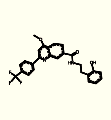 COc1cc(-c2ccc(C(F)(F)F)cc2)nc2cc(C(=O)NCCc3ccccc3O)ccc12